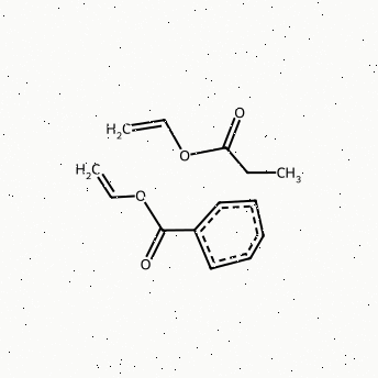 C=COC(=O)CC.C=COC(=O)c1ccccc1